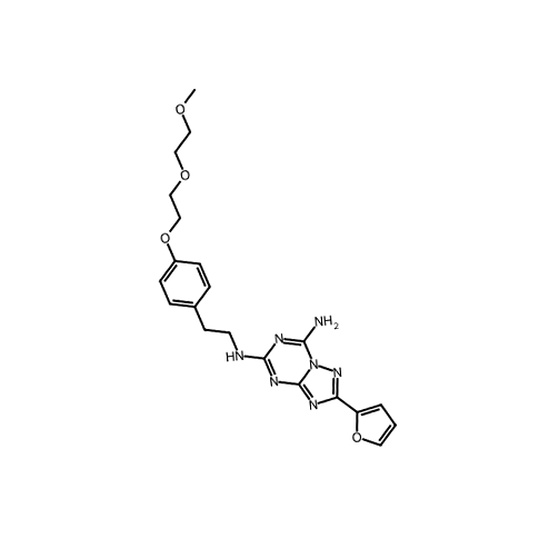 COCCOCCOc1ccc(CCNc2nc(N)n3nc(-c4ccco4)nc3n2)cc1